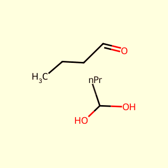 CCCC(O)O.CCCC=O